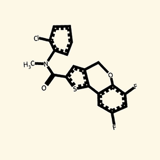 CN(C(=O)c1cc2c(s1)-c1cc(F)cc(F)c1OC2)c1ccccc1Cl